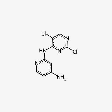 Nc1ccnc(Nc2nc(Cl)ncc2Cl)c1